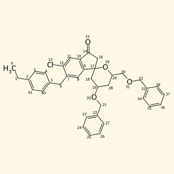 CCc1ccc(Cc2cc3c(cc2Cl)C(=O)CC32CC(OCc3ccccc3)CC(COCc3ccccc3)O2)cc1